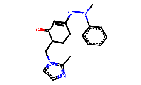 Cc1nccn1CC1CCC(NN(C)c2ccccc2)=CC1=O